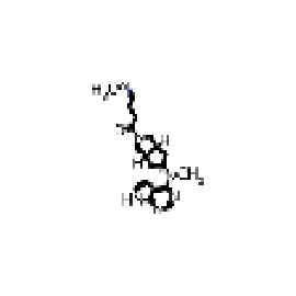 C/N=C\CCC(=O)N1C[C@H]2C[C@@H](N(C)c3ncnc4[nH]ccc34)C[C@H]2C1